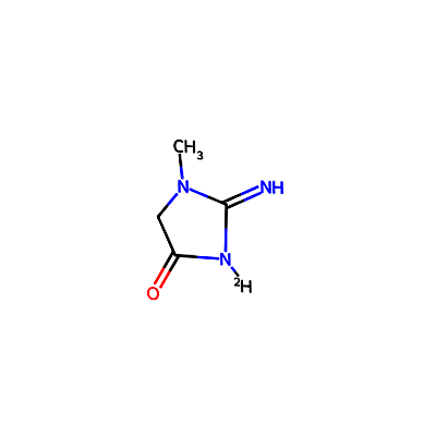 [2H]N1C(=N)N(C)CC1=O